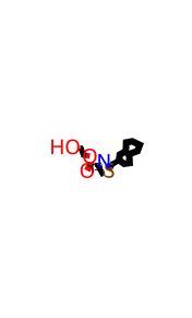 O=C(OCCO)[C@H]1CSC(c2ccc3ccccc3c2)=N1